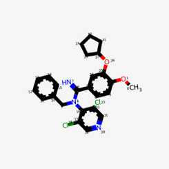 COc1ccc(C(=N)N(Cc2ccccc2)c2c(Cl)cncc2Cl)cc1OC1CCCC1